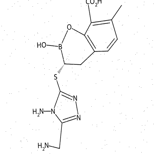 Cc1ccc2c(c1C(=O)O)OB(O)[C@@H](Sc1nnc(CN)n1N)C2